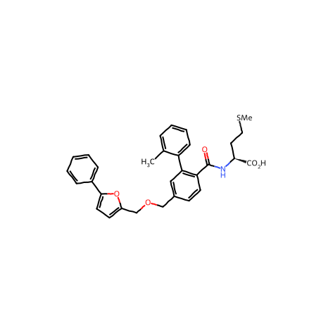 CSCC[C@H](NC(=O)c1ccc(COCc2ccc(-c3ccccc3)o2)cc1-c1ccccc1C)C(=O)O